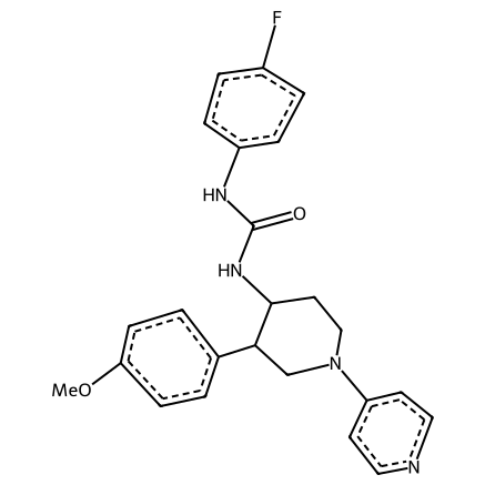 COc1ccc(C2CN(c3ccncc3)CCC2NC(=O)Nc2ccc(F)cc2)cc1